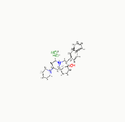 Cl.Cl.OC1(C(CN2CCC(N3CCCCC3)CC2)c2ccc3ccccc3c2)CCCCC1